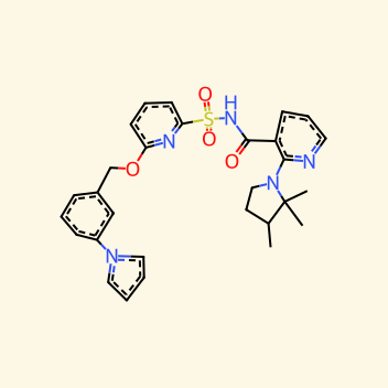 CC1CCN(c2ncccc2C(=O)NS(=O)(=O)c2cccc(OCc3cccc(-n4cccc4)c3)n2)C1(C)C